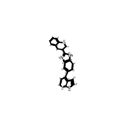 c1ccc2c(c1)CC(c1nc3cc(-c4ccnc5[nH]ccc45)ccc3[nH]1)CO2